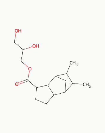 CC1C(C)C2CC1C1CCC(C(=O)OCC(O)CO)C21